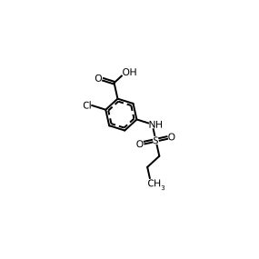 CCCS(=O)(=O)Nc1ccc(Cl)c(C(=O)O)c1